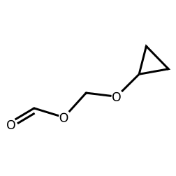 O=COCOC1CC1